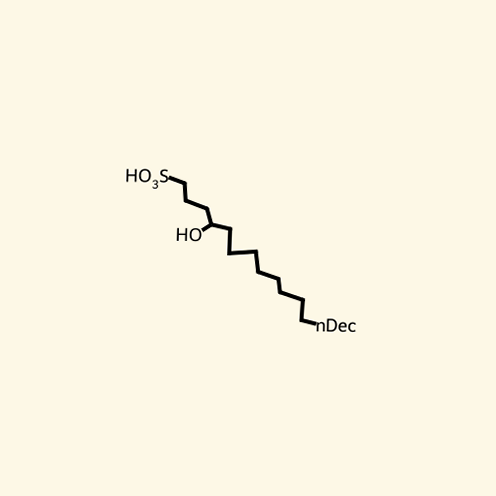 CCCCCCCCCCCCCCCCCCC(O)CCCS(=O)(=O)O